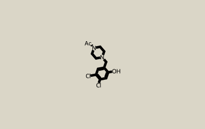 CC(=O)N1CCN(Cc2cc(Cl)c(Cl)cc2O)CC1